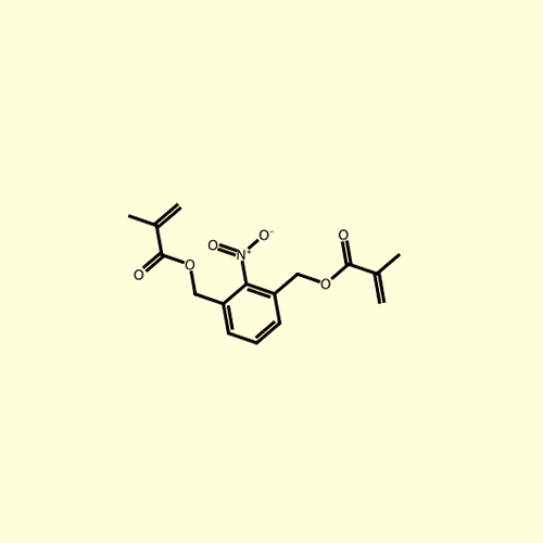 C=C(C)C(=O)OCc1cccc(COC(=O)C(=C)C)c1[N+](=O)[O-]